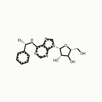 CC[C@H](Nc1ncnc2c1ncn2[C@@H]1O[C@H](CO)C(O)[C@@H]1O)c1ccccc1